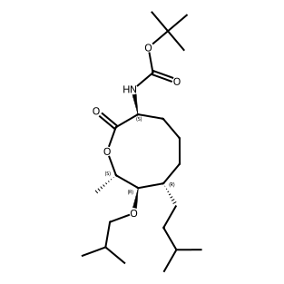 CC(C)CC[C@H]1CCC[C@H](NC(=O)OC(C)(C)C)C(=O)O[C@@H](C)[C@@H]1OCC(C)C